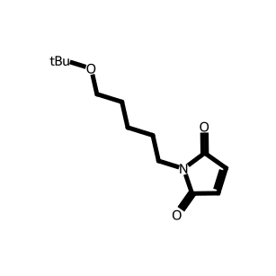 CC(C)(C)OCCCCCN1C(=O)C=CC1=O